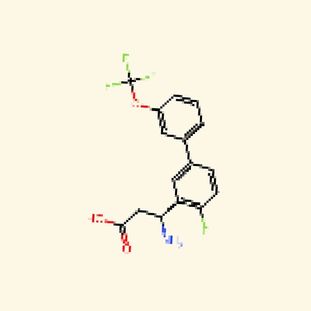 N[C@@H](CC(=O)O)c1cc(-c2cccc(OC(F)(F)F)c2)ccc1F